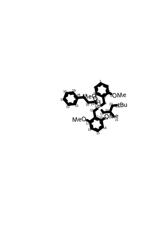 COc1cccc(OC)c1C[PH](Cc1c(OC)cccc1OC)(CC(C)CC(C)(C)C)C(=O)CCc1ccccc1